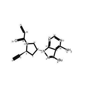 C#C[C@@H]1C[C@@H](n2nc(C(C)(C)C)c3c(N)ncnc32)CN1C(=O)C=C